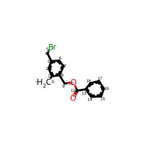 [CH2]c1cc(CBr)ccc1COC(=O)c1ccccc1